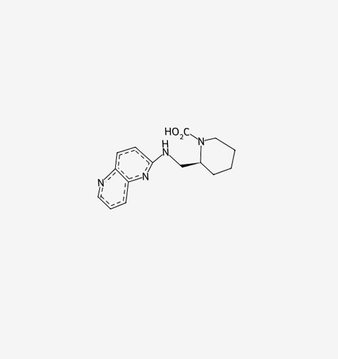 O=C(O)N1CCCC[C@H]1CNc1ccc2ncccc2n1